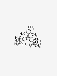 Cc1cc(C)c(B2c3cc(C)c([Si](C)(C)C)cc3-c3cc([Si](C)(C)C)c(C)cc32)c(C)c1